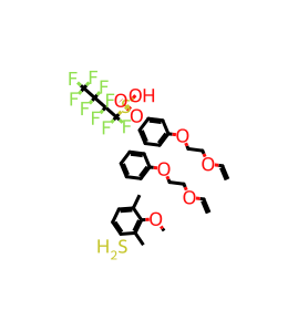 C=COCCOc1ccccc1.C=COCCOc1ccccc1.COc1c(C)cccc1C.O=S(=O)(O)C(F)(F)C(F)(F)C(F)(F)C(F)(F)F.S